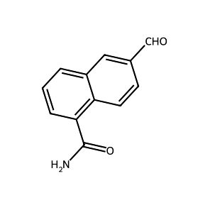 NC(=O)c1cccc2cc(C=O)ccc12